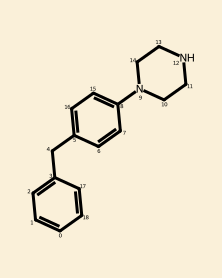 c1ccc(Cc2ccc(N3CCNCC3)cc2)cc1